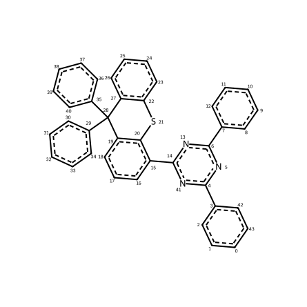 c1ccc(-c2nc(-c3ccccc3)nc(-c3cccc4c3Sc3ccccc3C4(c3ccccc3)c3ccccc3)n2)cc1